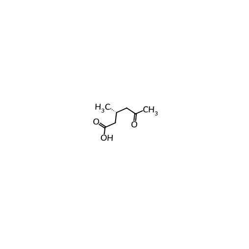 CC(=O)C[C@@H](C)CC(=O)O